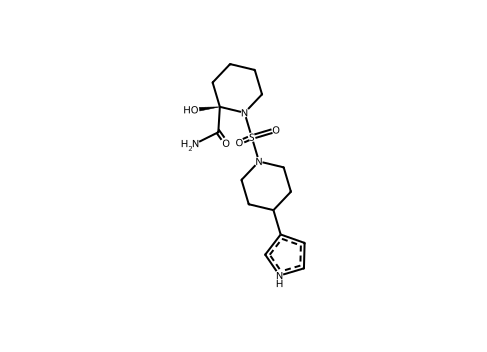 NC(=O)[C@]1(O)CCCCN1S(=O)(=O)N1CCC(c2cc[nH]c2)CC1